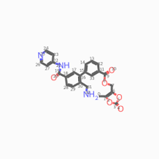 Cc1oc(=O)oc1COC(=O)c1cccc(-c2cc(C(=O)Nc3ccncc3)ccc2CN)c1